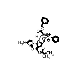 CC(C)C(=O)O[C@@H]1[C@@H](COP(=O)(N[C@@H](C)C(=O)OCc2ccccc2)Oc2ccccc2)O[C@@H](n2ccc(N)nc2=O)C12CC2